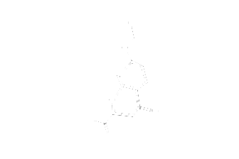 CCOc1ccc2c(=O)cc(C(=O)O)oc2c1